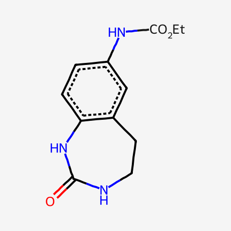 CCOC(=O)Nc1ccc2c(c1)CCNC(=O)N2